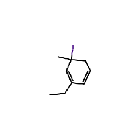 CCC1=CC(C)(I)CC=C1